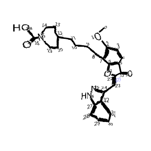 COc1ccc2c(c1CCCCC1CCN(C(=O)O)CC1)O/C(=C\c1n[nH]c3ccccc13)C2=O